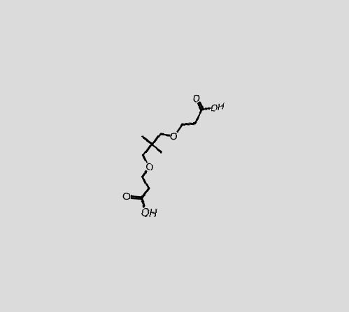 CC(C)(COCCC(=O)O)COCCC(=O)O